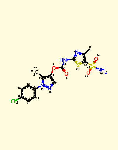 Cc1nc(NC(=O)Oc2cnn(-c3ccc(Cl)cc3)c2C(F)(F)F)sc1S(N)(=O)=O